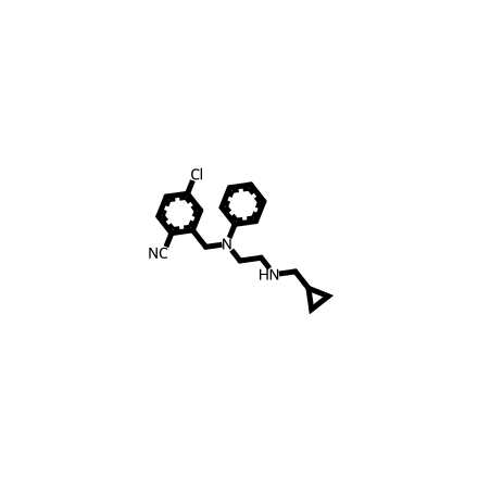 N#Cc1ccc(Cl)cc1CN(CCNCC1CC1)c1ccccc1